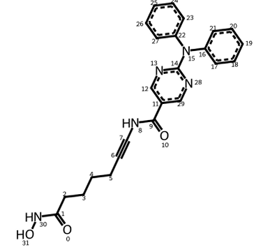 O=C(CCCCC#CNC(=O)c1cnc(N(c2ccccc2)c2ccccc2)nc1)NO